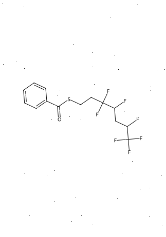 O=C(SCCC(F)(F)C(F)CC(F)C(F)(F)F)c1ccccc1